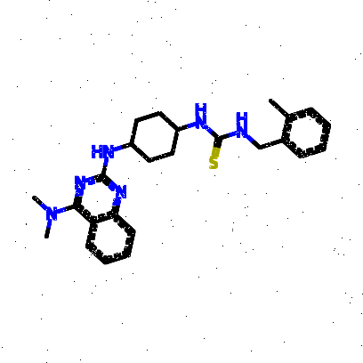 Cc1ccccc1CNC(=S)NC1CCC(Nc2nc(N(C)C)c3ccccc3n2)CC1